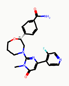 Cn1c(N2CCCO[C@H](c3ccc(C(N)=O)cc3)C2)nc(-c2ccncc2F)cc1=O